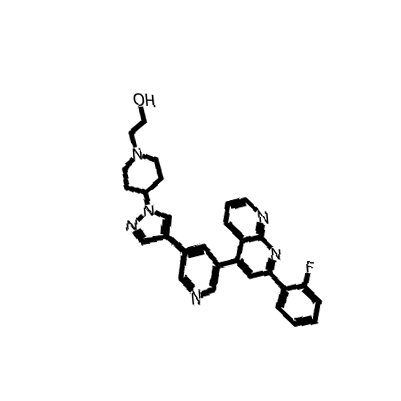 OCCN1CCC(n2cc(-c3cncc(-c4cc(-c5ccccc5F)nc5ncccc45)c3)cn2)CC1